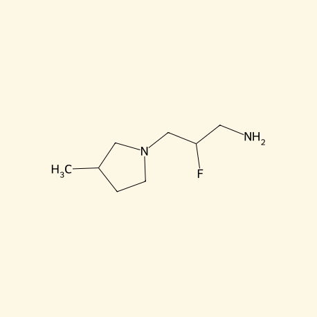 CC1CCN(CC(F)CN)C1